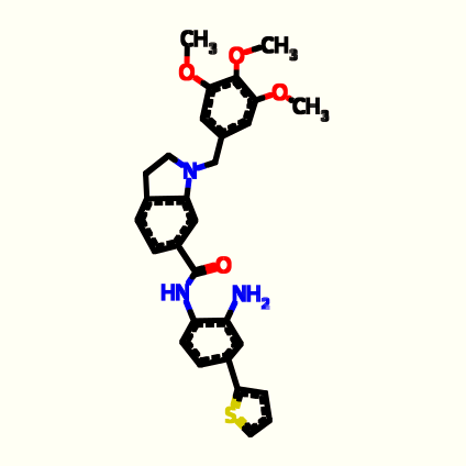 COc1cc(CN2CCc3ccc(C(=O)Nc4ccc(-c5cccs5)cc4N)cc32)cc(OC)c1OC